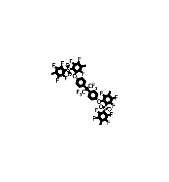 Cc1c(F)c(F)c(S(=O)(=O)c2c(F)c(F)c(C)c(F)c2Oc2ccc(C(c3ccc(Oc4c(F)c(C)c(F)c(F)c4S(=O)(=O)c4c(F)c(F)c(C)c(F)c4F)cc3)(C(F)(F)F)C(F)(F)F)cc2)c(F)c1F